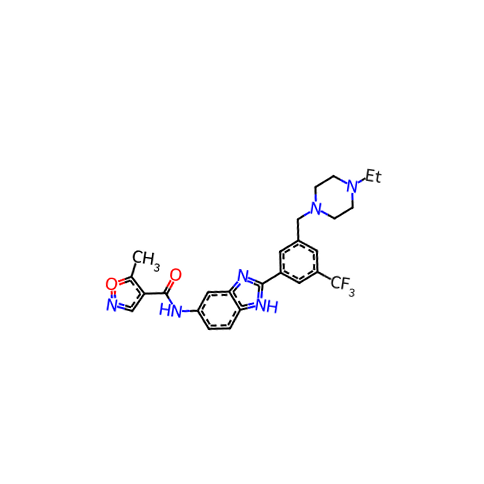 CCN1CCN(Cc2cc(-c3nc4cc(NC(=O)c5cnoc5C)ccc4[nH]3)cc(C(F)(F)F)c2)CC1